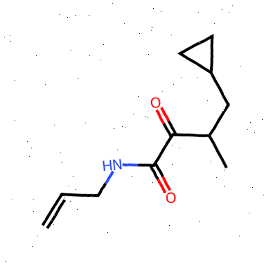 C=CCNC(=O)C(=O)C(C)CC1CC1